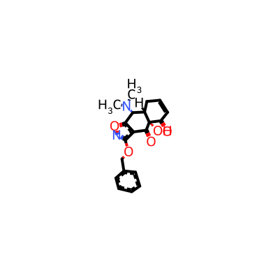 CN(C)[C@@H]1c2onc(OCc3ccccc3)c2C(=O)[C@@]2(O)C(=O)C=CC[C@@H]12